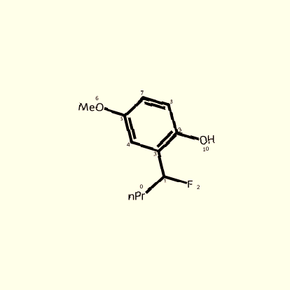 CCCC(F)c1cc(OC)ccc1O